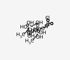 CCCCC[C@H](O)/C=C/[C@H]1[C@H](O)CC(=O)[C@@H]1C/C=C\CCCC(=O)O.CCCCC[C@](C)(O)/C=C/[C@@H]1[C@@H](C/C=C\CCCC(=O)O)[C@@H](O)C[C@H]1O.OCCOCCN1CCN(C(c2ccccc2)c2ccc(Cl)cc2)CC1